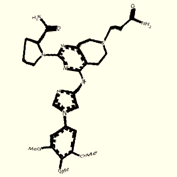 COc1cc(-n2cnc(Nc3nc(N4CCCC4C(N)=O)nc4c3CCN(CCC(N)=O)C4)c2)cc(OC)c1OC